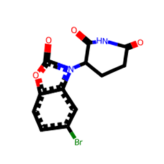 O=C1CCC(n2c(=O)oc3ccc(Br)cc32)C(=O)N1